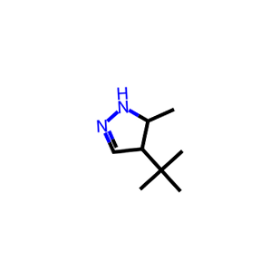 CC1NN=CC1C(C)(C)C